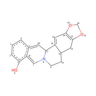 Oc1cccc2c1=CN1CCC3CC4=C(C=C3C1C=2)OCO4